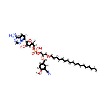 CCCCCCCCCCCCCCCCCCOC[C@H](COP(=O)(O)OC[C@]1(C)C[C@@H](O)[C@H](c2ccc3c(N)ncnn23)O1)OCc1ccc(OC)c(C#N)c1